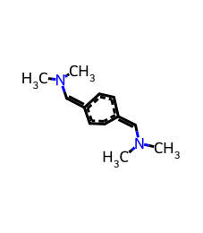 CN(C)C=c1ccc(=CN(C)C)cc1